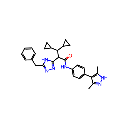 Cc1n[nH]c(C)c1-c1ccc(NC(=O)C(c2nnc(Cc3ccccc3)[nH]2)C(C2CC2)C2CC2)cc1